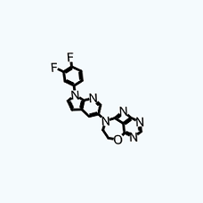 Fc1ccc(-n2ccc3cc(N4CCOc5ncnc6c5C4=N6)cnc32)cc1F